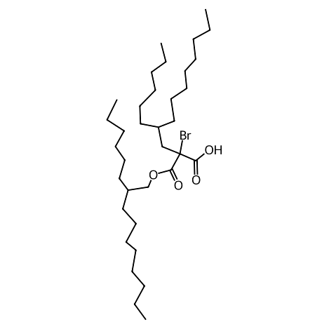 CCCCCCCCC(CCCCCC)COC(=O)C(Br)(CC(CCCCCC)CCCCCCCC)C(=O)O